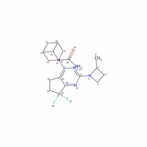 CC1CCN1c1nc(N2CC3CC(C2)C3CC(N)=O)c2c(n1)C(F)(F)CC2